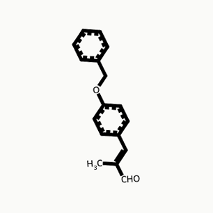 CC(C=O)=Cc1ccc(OCc2ccccc2)cc1